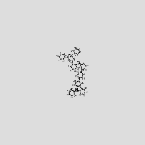 c1ccc(-c2nc(-c3ccccc3)nc(-c3cccc4c3oc3cccc(-c5ccc(-c6ccc7c(c6)c6ccccc6n7-c6ccccc6)cc5)c34)n2)cc1